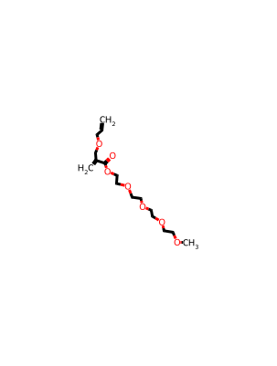 C=CCOCC(=C)C(=O)OCCOCCOCCOCCOC